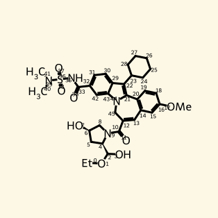 CCOC(O)[C@H]1C[C@@H](O)CN1C(=O)C1=Cc2cc(OC)ccc2-c2c(C3CCCCC3)c3ccc(C(=O)NS(=O)(=O)N(C)C)cc3n2C1